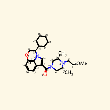 COCCN1[C@H](C)CN(C(=O)c2cn3c4c(cccc24)OC[C@H]3C2CCCCC2)C[C@@H]1C